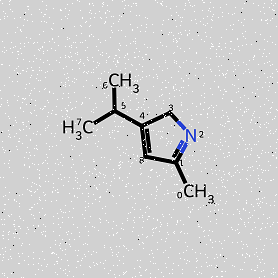 CC1=NCC(C(C)C)=C1